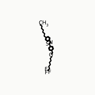 CCCCCCCCc1ccc2nc(-c3ccc(COCCCCCCCC(F)(F)F)cc3)sc2c1